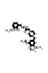 COc1cccc(/C=N/NC(=O)CN2CCN(Cc3cc(OC)c(OC)c(OC)c3)CC2)c1O